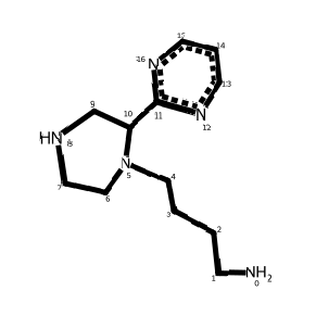 NCCCCN1CCNCC1c1ncccn1